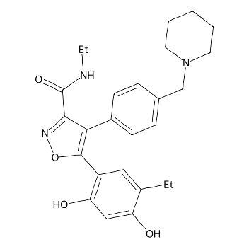 CCNC(=O)c1noc(-c2cc(CC)c(O)cc2O)c1-c1ccc(CN2CCCCC2)cc1